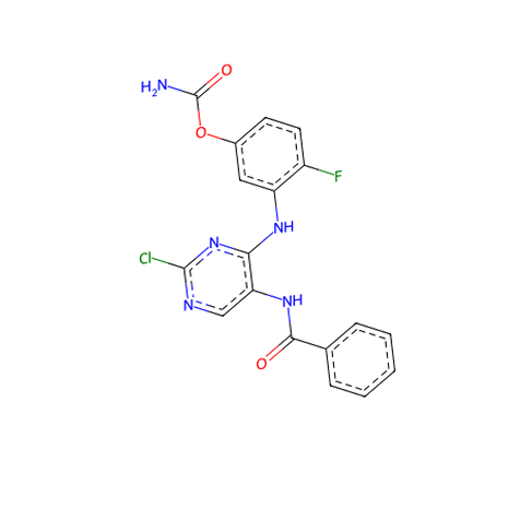 NC(=O)Oc1ccc(F)c(Nc2nc(Cl)ncc2NC(=O)c2ccccc2)c1